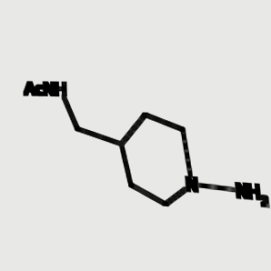 CC(=O)NCC1CCN(N)CC1